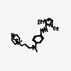 CCn1cc[n+](CC)c1/N=N/c1ccc(N(C)CCC[N+]23CCN(CC2)CC3)cc1